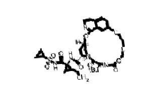 C=CC1C[C@]1(NC(=O)[C@@H]1C[C@@H]2CN1C(=O)[C@H](C(C)(C)C)NC(=O)OCCCCCc1ccc3ccnc(c3c1)O2)C(=O)NS(=O)(=O)C1CC1